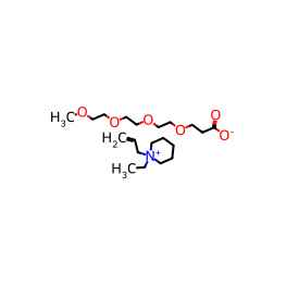 C=CC[N+]1(CC)CCCCC1.COCCOCCOCCOCCC(=O)[O-]